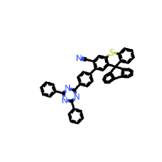 N#Cc1cc2c(cc1-c1ccc(-c3nc(-c4ccccc4)nc(-c4ccccc4)n3)cc1)C1(c3ccccc3S2)c2ccccc2-c2ccccc21